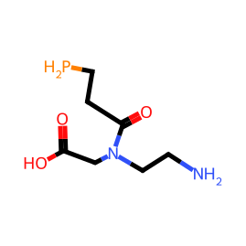 NCCN(CC(=O)O)C(=O)CCP